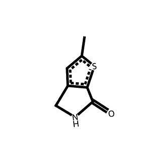 Cc1cc2c(s1)C(=O)NC2